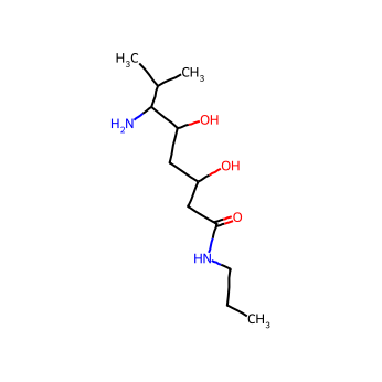 CCCNC(=O)CC(O)CC(O)C(N)C(C)C